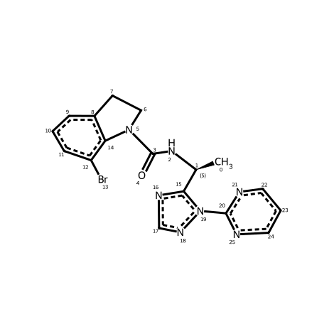 C[C@H](NC(=O)N1CCc2cccc(Br)c21)c1ncnn1-c1ncccn1